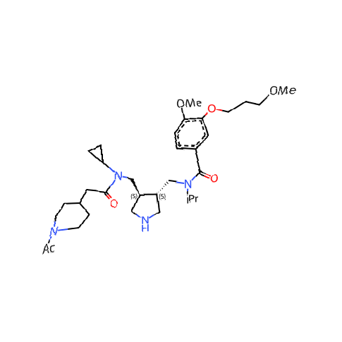 COCCCOc1cc(C(=O)N(C[C@@H]2CNC[C@H]2CN(C(=O)CC2CCN(C(C)=O)CC2)C2CC2)C(C)C)ccc1OC